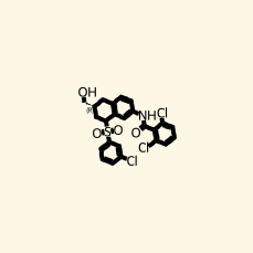 O=C(Nc1ccc2c(c1)C(S(=O)(=O)c1cccc(Cl)c1)C[C@H](CO)C2)c1c(Cl)cccc1Cl